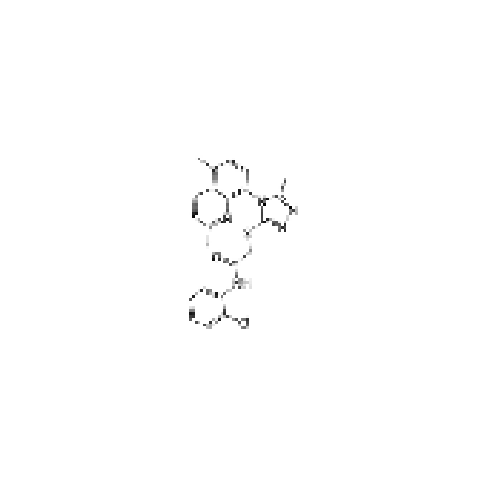 Cc1ccc2c(C)ccc(-n3c(C)nnc3SCC(=O)Nc3ccccc3Cl)c2n1